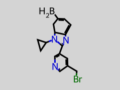 BC1=CC=C2N=C(c3cncc(CBr)c3)N(C3CC3)C2C1